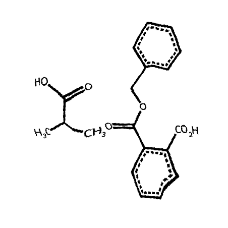 CC(C)C(=O)O.O=C(O)c1ccccc1C(=O)OCc1ccccc1